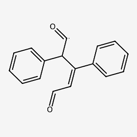 O=[C]C(C(=CC=O)c1ccccc1)c1ccccc1